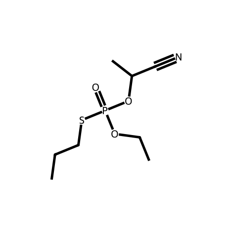 CCCSP(=O)(OCC)OC(C)C#N